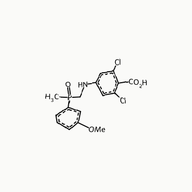 COc1cccc(P(C)(=O)CNc2cc(Cl)c(C(=O)O)c(Cl)c2)c1